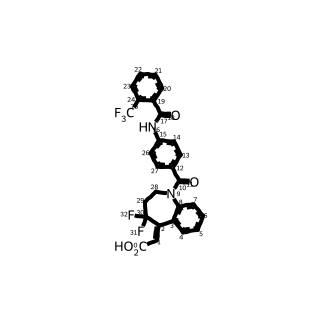 O=C(O)C=C1c2ccccc2N(C(=O)c2ccc(NC(=O)c3ccccc3C(F)(F)F)cc2)CCC1(F)F